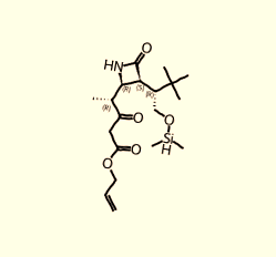 C=CCOC(=O)CC(=O)[C@H](C)[C@H]1NC(=O)[C@H]1[C@@H](CO[SiH](C)C)C(C)(C)C